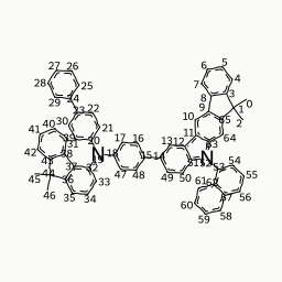 CC1(C)c2ccccc2-c2cc3c4cc(-c5ccc(N(c6ccc(-c7ccccc7)cc6)c6cccc7c6-c6ccccc6C7(C)C)cc5)ccc4n(-c4cccc5ccccc45)c3cc21